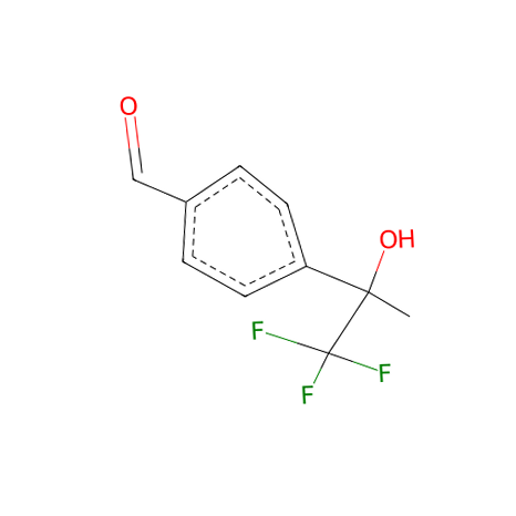 CC(O)(c1ccc(C=O)cc1)C(F)(F)F